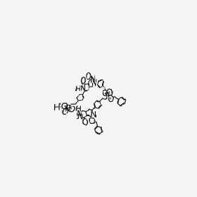 Cn1ncc2cc(-c3ccc(CCP(=O)(O)O)cc3)[nH]c(=O)c2c1=O.Cn1ncc2cc(-c3ccc(CCP(=O)(OCc4ccccc4)OCc4ccccc4)cc3)nc(OCc3ccccc3)c2c1=O